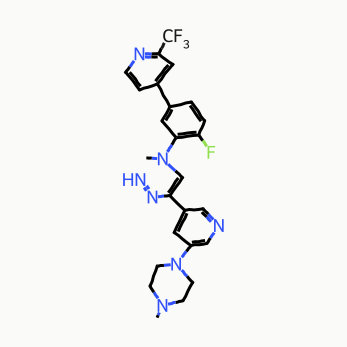 CN1CCN(c2cncc(/C(=C/N(C)c3cc(-c4ccnc(C(F)(F)F)c4)ccc3F)N=N)c2)CC1